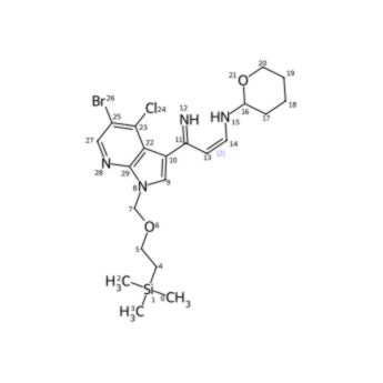 C[Si](C)(C)CCOCn1cc(C(=N)/C=C\NC2CCCCO2)c2c(Cl)c(Br)cnc21